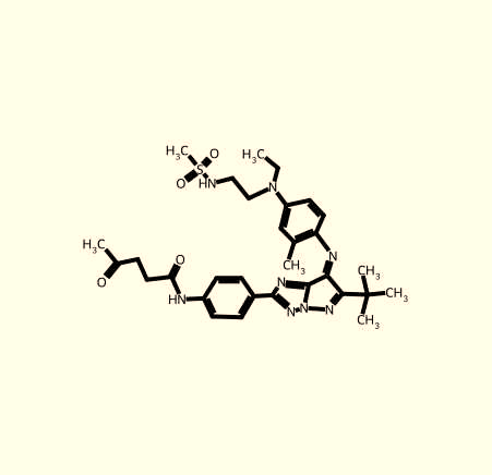 CCN(CCNS(C)(=O)=O)c1ccc(/N=C2/C(C(C)(C)C)=Nn3nc(-c4ccc(NC(=O)CCC(C)=O)cc4)nc32)c(C)c1